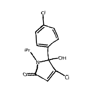 CC(C)N1C(=O)C=C(Cl)C1(O)c1ccc(Cl)cc1